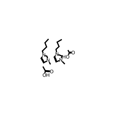 CC(=O)O.CC(=O)O.CCCCN1C=CN(C)C1.CCCCN1C=CN(C)C1